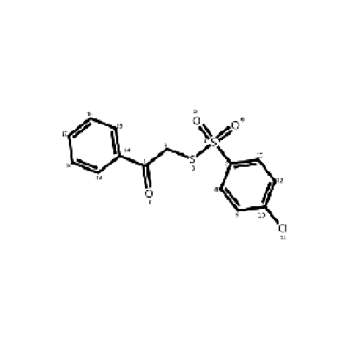 O=C(CSS(=O)(=O)c1ccc(Cl)cc1)c1ccccc1